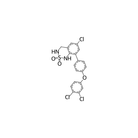 O=S1(=O)NCc2cc(Cl)cc(-c3ccc(Oc4ccc(Cl)c(Cl)c4)cc3)c2N1